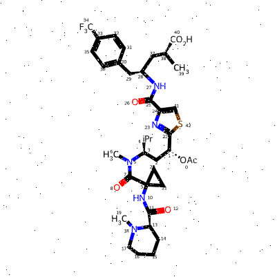 CC(=O)O[C@H](C[C@H](C(C)C)N(C)C(=O)C1(NC(=O)[C@H]2CCCCN2C)CC1)c1nc(C(=O)N[C@@H](Cc2ccc(C(F)(F)F)cc2)C[C@H](C)C(=O)O)cs1